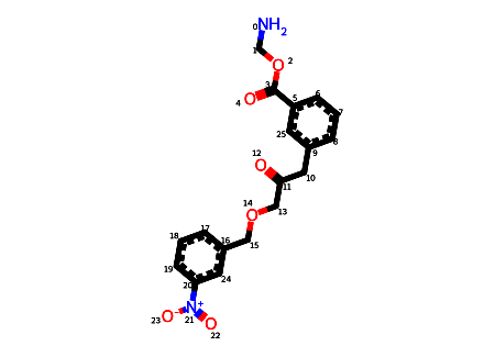 NCOC(=O)c1cccc(CC(=O)COCc2cccc([N+](=O)[O-])c2)c1